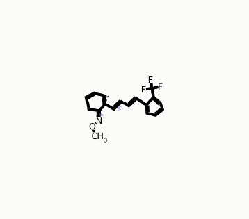 CO/N=C1\CC=C[C]=C1/C=C/C=Cc1ccccc1C(F)(F)F